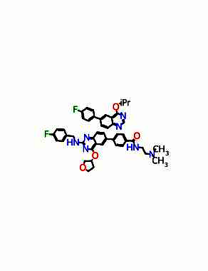 CC(C)Oc1ncnc2ccc(-c3ccc(F)cc3)cc12.CN(C)CCNC(=O)c1ccc(-c2ccc3nc(NCc4ccc(F)cc4)nc(O[C@H]4CCOC4)c3c2)cc1